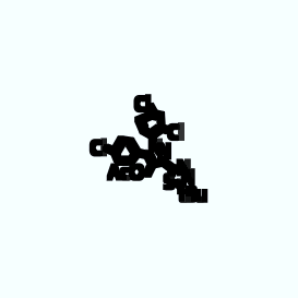 CC(=O)OCc1c(-c2nnc(C(C)(C)C)s2)nn(-c2ccc(Cl)cc2Cl)c1-c1ccc(Cl)cc1